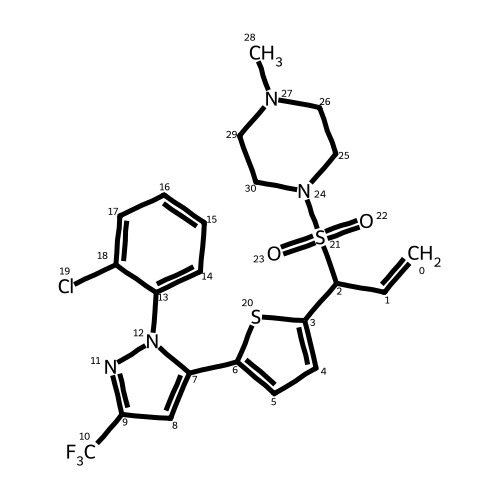 C=CC(c1ccc(-c2cc(C(F)(F)F)nn2-c2ccccc2Cl)s1)S(=O)(=O)N1CCN(C)CC1